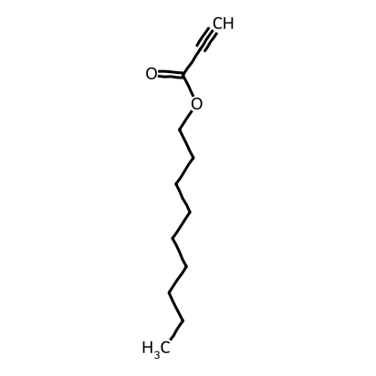 C#CC(=O)OCCCCCCCCC